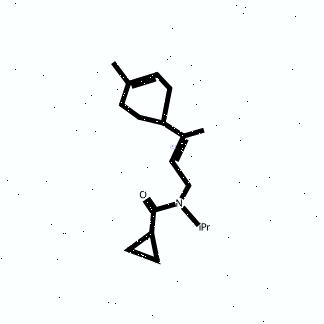 CC1=CCC(/C(C)=C/CN(C(=O)C2CC2)C(C)C)CC1